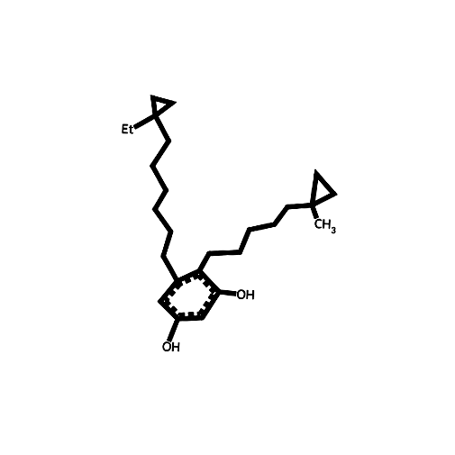 CCC1(CCCCCCc2cc(O)cc(O)c2CCCCCC2(C)CC2)CC1